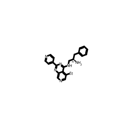 CCc1cncc2nc(-c3ccncc3)nc(NC[C@H](N)Cc3ccccc3)c12